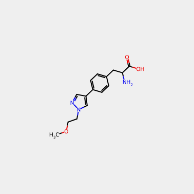 COCCn1cc(-c2ccc(CC(N)C(=O)O)cc2)cn1